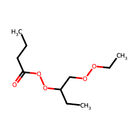 CCCC(=O)OOC(CC)COOCC